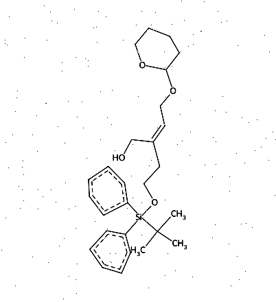 CC(C)(C)[Si](OCC/C(=C/COC1CCCCO1)CO)(c1ccccc1)c1ccccc1